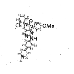 COc1ccc(N2C(=O)N(c3c(C)cccc3Cl)Cc3cnc(Nc4ccc(C5CCN(C)CC5)cc4C)nc32)nc1